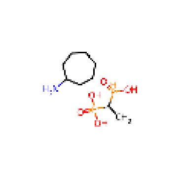 CC([PH](=O)O)P(=O)(O)O.NC1CCCCCC1